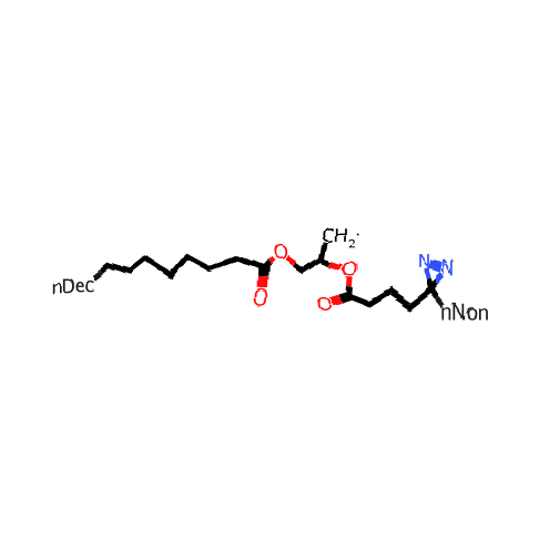 [CH2]C(COC(=O)CCCCCCCCCCCCCCCCC)OC(=O)CCCC1(CCCCCCCCC)N=N1